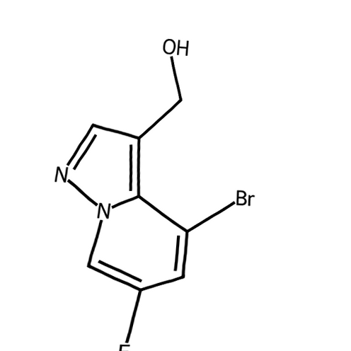 OCc1cnn2cc(F)cc(Br)c12